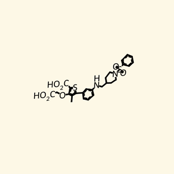 Cc1c(-c2cccc(NCC3CCN(S(=O)(=O)c4ccccc4)CC3)c2)sc(C(=O)O)c1OCC(=O)O